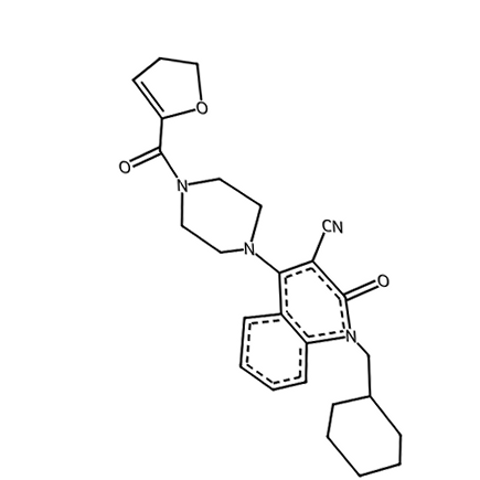 N#Cc1c(N2CCN(C(=O)C3=CCCO3)CC2)c2ccccc2n(CC2CCCCC2)c1=O